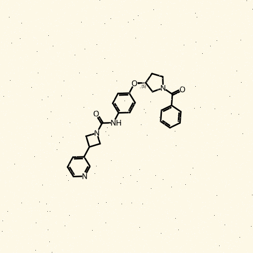 O=C(Nc1ccc(O[C@H]2CCN(C(=O)c3ccccc3)C2)cc1)N1CC(c2cccnc2)C1